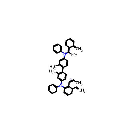 C=CC1CC=CC(N(C2=CC=CCC2)c2ccc(-c3ccc(N(/C(CCC)=c4\ccccc4=C)c4ccccc4)cc3C)c(C)c2)=C1/C=C\C